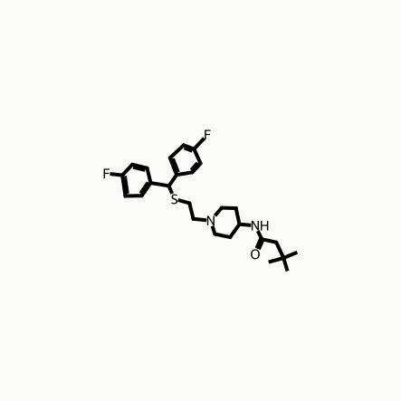 CC(C)(C)CC(=O)NC1CCN(CCSC(c2ccc(F)cc2)c2ccc(F)cc2)CC1